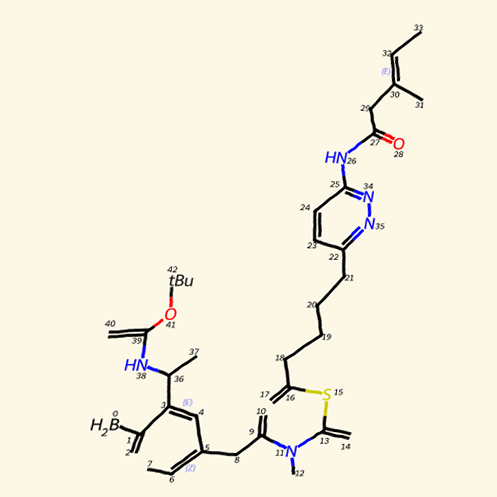 BC(=C)/C(=C\C(=C/C)CC(=C)N(C)C(=C)SC(=C)CCCCc1ccc(NC(=O)C/C(C)=C/C)nn1)C(C)NC(=C)OC(C)(C)C